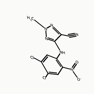 Cn1nc(C#N)c(Nc2cc(Cl)c(Cl)cc2[N+](=O)[O-])n1